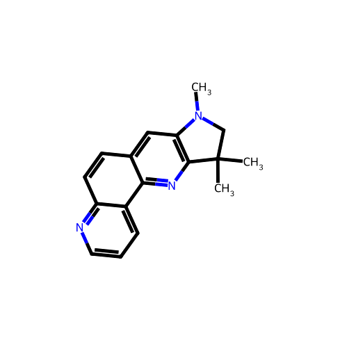 CN1CC(C)(C)c2nc3c(ccc4ncccc43)cc21